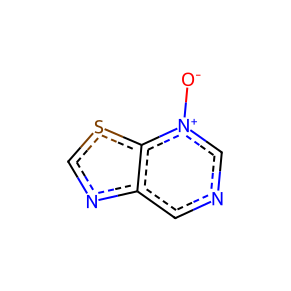 [O-][n+]1cncc2ncsc21